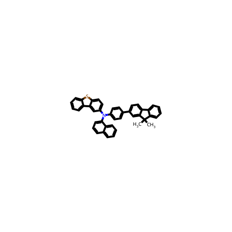 CC1(C)c2ccccc2-c2ccc(-c3ccc(N(c4ccc5sc6ccccc6c5c4)c4cccc5ccccc45)cc3)cc21